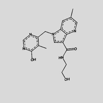 Cc1cnc2c(C(=O)NCCO)cn(Cc3ncnc(O)c3C)c2c1